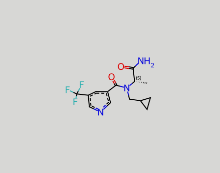 C[C@@H](C(N)=O)N(CC1CC1)C(=O)c1cncc(C(F)(F)F)c1